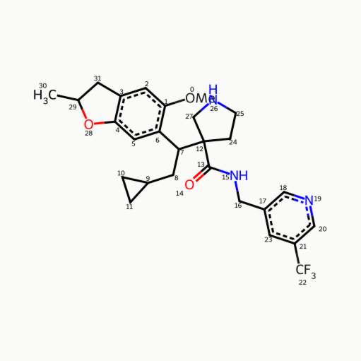 COc1cc2c(cc1C(CC1CC1)C1(C(=O)NCc3cncc(C(F)(F)F)c3)CCNC1)OC(C)C2